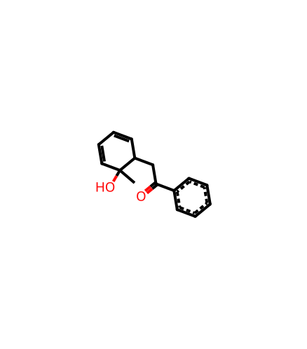 CC1(O)C=CC=CC1CC(=O)c1ccccc1